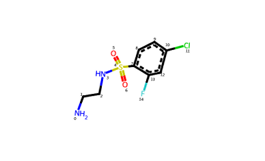 NCCNS(=O)(=O)c1ccc(Cl)cc1F